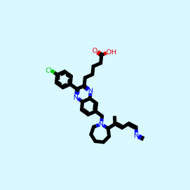 C=N/C=C\C=C(/C)C1CCCCCN1CC1=CC2N=C(CCCCC(=O)O)C(c3ccc(Cl)cc3)=NC2C=C1